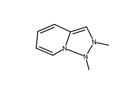 CN1C=C2C=CC=CN2N1C